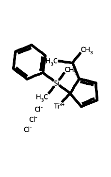 CC(C)C1=CC=C[C]1([Ti+3])[Si](C)(C)c1ccccc1.[Cl-].[Cl-].[Cl-]